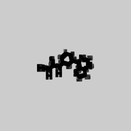 CCNC(=S)Nc1cccc(-c2ncnc3ccsc23)c1